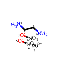 NCCN.O=[N+]([O-])[O-].O=[N+]([O-])[O-].[Pd+2]